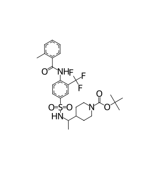 Cc1ccccc1C(=O)Nc1ccc(S(=O)(=O)NC(C)C2CCN(C(=O)OC(C)(C)C)CC2)cc1C(F)(F)F